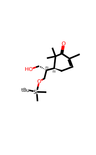 CC1=CC[C@@H]([C@@H](CO)CO[Si](C)(C)C(C)(C)C)C(C)(C)C1=O